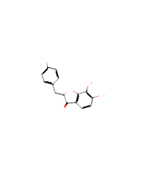 O=C1c2ccc(O)c(O)c2OC1Cc1ccc(O)cc1